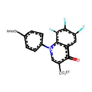 CCOC(=O)c1cn(-c2ccc(OC)cc2)c2c(F)c(F)c(F)cc2c1=O